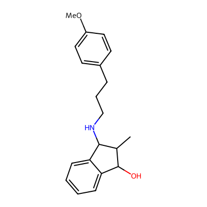 COc1ccc(CCCNC2c3ccccc3C(O)C2C)cc1